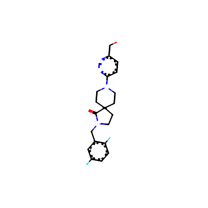 O=C1N(Cc2cc(F)ccc2F)CCC12CCN(c1ccc(CO)nn1)CC2